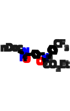 CCCCCCCCCCCc1noc(-c2ccc(CN(C(=O)C(=O)OCC)[C@@H](C)c3ccc(C(F)(F)F)cc3)cc2)n1